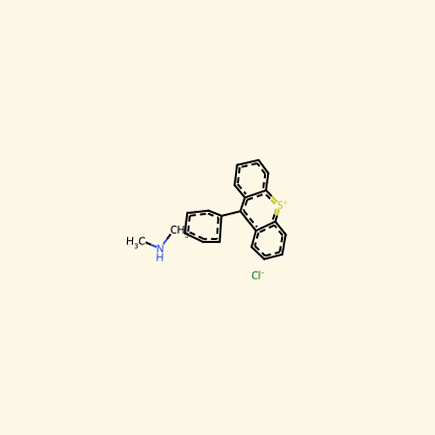 CNC.[Cl-].c1ccc(-c2c3ccccc3[s+]c3ccccc23)cc1